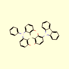 c1ccc(N2c3cccc4c3B3c5c(cccc52)Oc2c(-n5c6ccccc6c6ccccc65)ccc(c23)O4)cc1